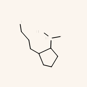 CCCCC1CCC[C]1[SiH](C)C